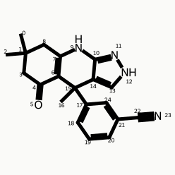 CC1(C)CC(=O)C2=C(C1)Nc1n[nH]cc1C2(C)c1cccc(C#N)c1